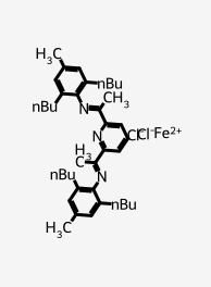 CCCCc1cc(C)cc(CCCC)c1N=C(C)c1cccc(C(C)=Nc2c(CCCC)cc(C)cc2CCCC)n1.[Cl-].[Cl-].[Fe+2]